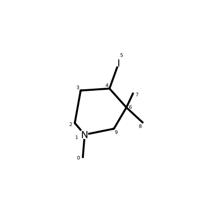 CN1CCC(I)C(C)(C)C1